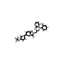 O=c1n(CC(COc2ccccc2Cl)Oc2ncccn2)nc2ccc(-c3ccc(OC(F)(F)F)cc3)cn12